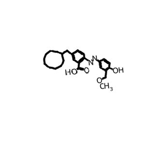 COCc1cc(/N=N/c2ccc(CC3CCCCCCCCC3)cc2C(=O)O)ccc1O